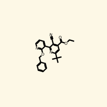 CCOC(=O)c1cc(C(C)(C)C)nc(-c2cccnc2OCc2ccccc2)c1C#N